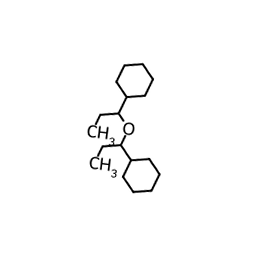 CCC(OC(CC)C1CCCCC1)C1CCCCC1